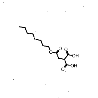 CCCCCCCCOC(=O)CC(C(=O)O)C(=O)O